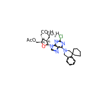 CC(=O)OC[C@@H]1O[C@@H](n2cnc3c(N4Cc5ccccc5C5(CCCCC5)C4)nc(Cl)nc32)[C@H](CC(=O)O)[C@H]1CC(=O)O